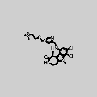 CC1C(=O)NCCc2c1c1c(NCc3cn(COCC[Si](C)(C)C)cn3)cc(Cl)c(Cl)c1n2C